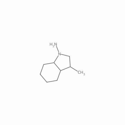 CC1CN(N)C2CCCCC12